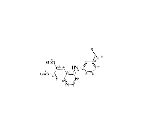 COc1cc2ncnc(Nc3cccc(N(C)C)c3)c2cc1OC